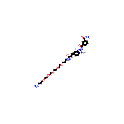 CCCn1/c(=N/C(=O)c2cccc(C(N)=O)c2)[nH]c2cc(/C=C/C(=O)NCCCOCCOCCOCCOCCOCCCN)ccc21